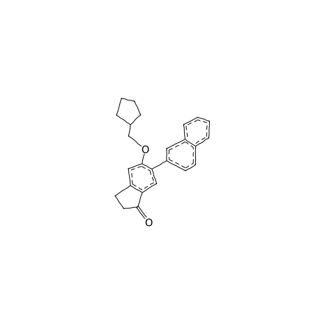 O=C1CCc2cc(OCC3CCCC3)c(-c3ccc4ccccc4c3)cc21